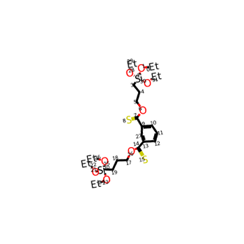 CCO[Si](CCCOC(=S)c1cccc(C(=S)OCCC[Si](OCC)(OCC)OCC)c1)(OCC)OCC